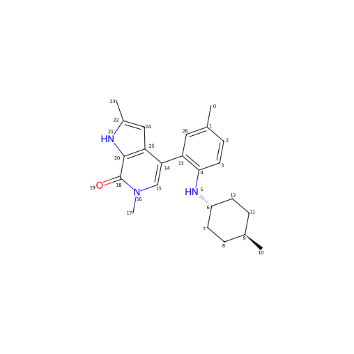 Cc1ccc(N[C@H]2CC[C@H](C)CC2)c(-c2cn(C)c(=O)c3[nH]c(C)cc23)c1